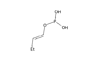 CCC=COP(O)O